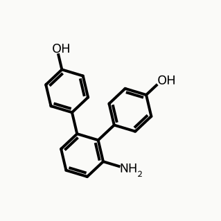 Nc1cccc(-c2ccc(O)cc2)c1-c1ccc(O)cc1